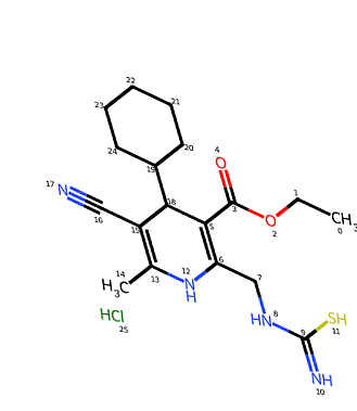 CCOC(=O)C1=C(CNC(=N)S)NC(C)=C(C#N)C1C1CCCCC1.Cl